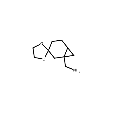 NCC12CC1CCC1(C2)OCCO1